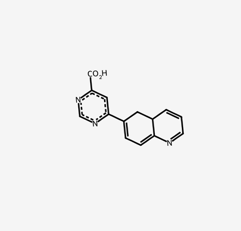 O=C(O)c1cc(C2=CC=C3N=CC=CC3C2)ncn1